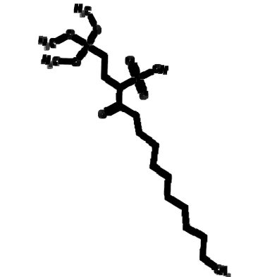 CCCCCCCCCCCC(=O)C(CC[Si](OC)(OC)OC)S(=O)(=O)O